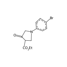 CCOC(=O)C1CN(c2ccc(Br)cc2)CC1=O